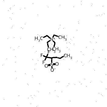 CCCC(C(F)(F)F)S(=O)(=O)[O-].CC[N+](CC)(CC)CC